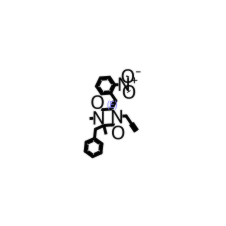 C#CCN1C(=O)C(C)(Cc2ccccc2)N(C)C(=O)/C1=C\c1ccccc1[N+](=O)[O-]